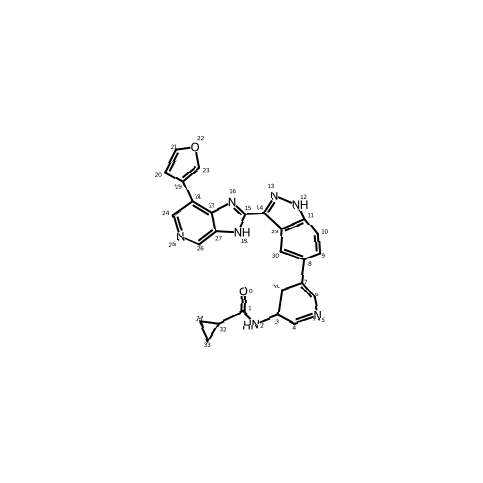 O=C(NC1C=NC=C(c2ccc3[nH]nc(-c4nc5c(-c6ccoc6)cncc5[nH]4)c3c2)C1)C1CC1